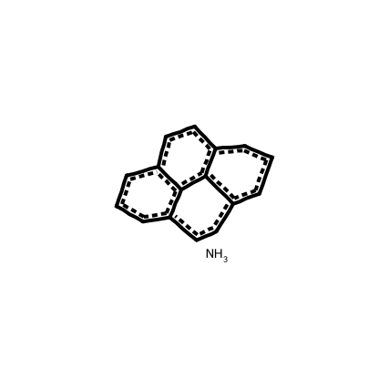 N.c1cc2ccc3cccc4ccc(c1)c2c34